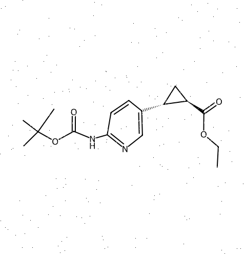 CCOC(=O)[C@@H]1C[C@H]1c1ccc(NC(=O)OC(C)(C)C)nc1